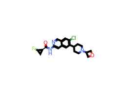 O=C(Nc1cc2cc(C3CCN(C4COC4)CC3)c(Cl)cc2cn1)[C@H]1CC1F